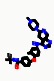 CCC(C)(C)NC(=O)c1ccc(Oc2ccc(Nc3ncnc4cnc(N5CCN(C)CC5)cc34)cc2C)cc1